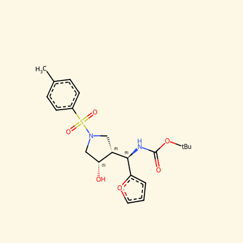 Cc1ccc(S(=O)(=O)N2C[C@H]([C@@H](NC(=O)OC(C)(C)C)c3ccco3)[C@H](O)C2)cc1